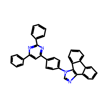 c1ccc(-c2cc(-c3ccc(-n4cnc5c6ccccc6c6ccccc6c54)cc3)nc(-c3ccccc3)n2)cc1